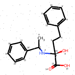 CC(N[C@](O)(CCc1ccccc1)C(=O)O)c1ccccc1